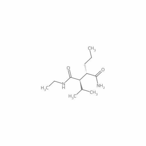 CCC[C@H](C(N)=O)[C@H](C(=O)NCC)C(C)C